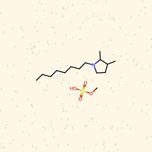 CCCCCCCCN1CCC(C)C1C.COS(=O)(=O)O